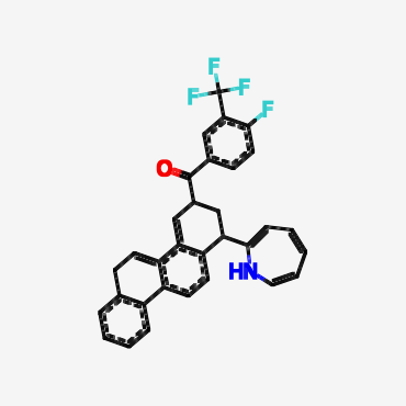 O=C(c1ccc(F)c(C(F)(F)F)c1)C1C=c2c(ccc3c2=CCc2ccccc2-3)C(C2=CC=CC=CN2)C1